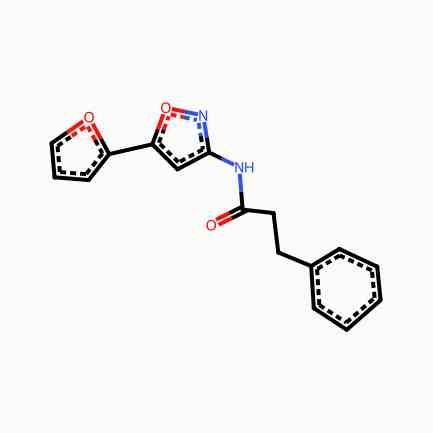 O=C(CCc1ccccc1)Nc1cc(-c2ccco2)on1